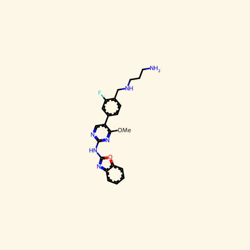 COc1nc(Nc2nc3ccccc3o2)ncc1-c1ccc(CNCCCN)c(F)c1